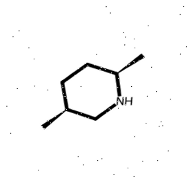 C[C@H]1CC[C@@H](C)NC1